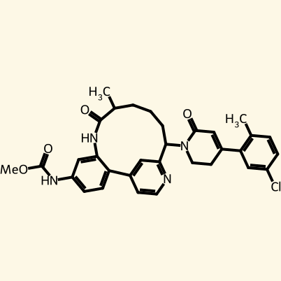 COC(=O)Nc1ccc2c(c1)NC(=O)C(C)CCCC(N1CCC(c3cc(Cl)ccc3C)=CC1=O)c1cc-2ccn1